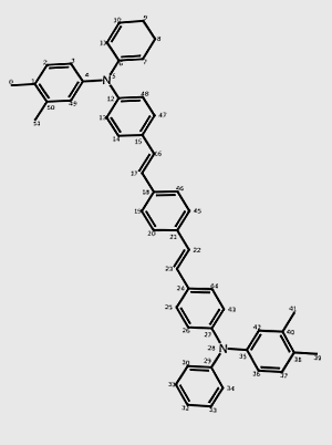 Cc1ccc(N(C2=CCCC=C2)c2ccc(C=Cc3ccc(C=Cc4ccc(N(c5ccccc5)c5ccc(C)c(C)c5)cc4)cc3)cc2)cc1C